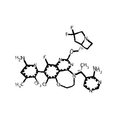 Cc1cc(N)nc(-c2c(Cl)c3c4c(nc(OC[C@@]56CCN5CC(F)(F)C6)nc4c2F)N([C@H](C)c2cncnc2N)CCO3)c1C(F)(F)F